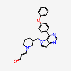 O=CC=CN1CCCC(Cn2ccc3ncnc(-c4ccc(Oc5ccccc5)cc4)c32)C1